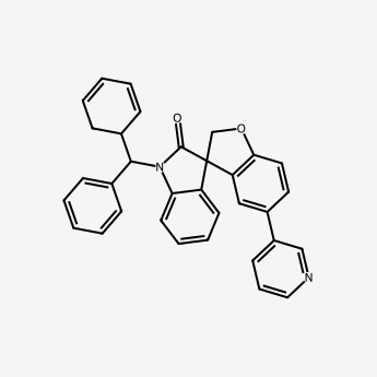 O=C1N(C(c2ccccc2)C2C=CC=CC2)c2ccccc2C12COc1ccc(-c3cccnc3)cc12